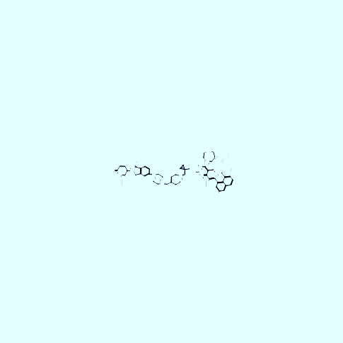 CCc1c(F)ccc2cc(O)cc(-c3ncc4c(N5CCOC[C@@](C)(O)C5)nc(OCC5(CN6CCC(CN7CCN(c8ccc9c(c8)CN(C8CCC(=O)NC8=O)C9=O)CC7)CC6)CC5)nc4c3F)c12